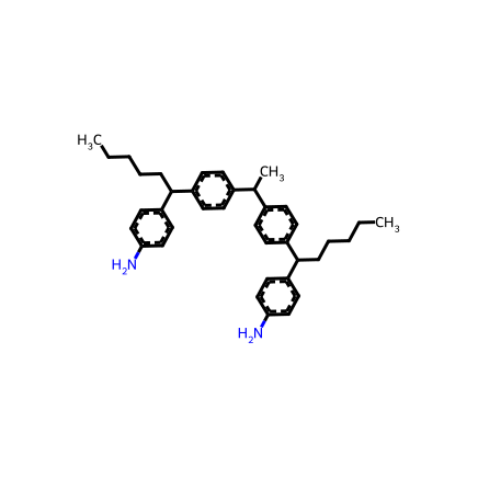 CCCCCC(c1ccc(N)cc1)c1ccc(C(C)c2ccc(C(CCCCC)c3ccc(N)cc3)cc2)cc1